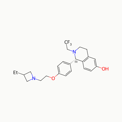 CCC1CN(CCOc2ccc([C@H]3c4ccc(O)cc4CCN3CC(F)(F)F)cc2)C1